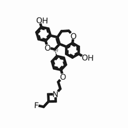 Oc1ccc2c(c1)OCCC1=C2[C@H](c2ccc(OCCN3CC(CF)C3)cc2)Oc2ccc(O)cc21